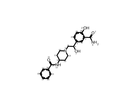 NC(=O)c1cc(C(O)CN2CCC(NC(=O)c3ccccc3)CC2)ccc1O